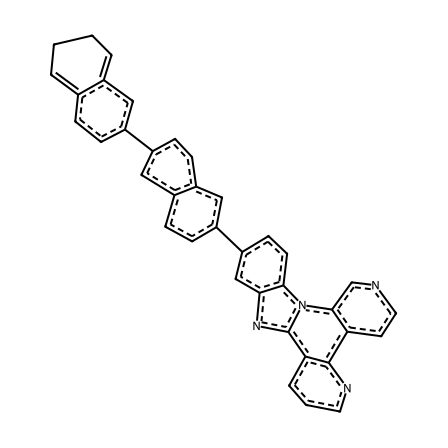 C1=c2ccc(-c3ccc4cc(-c5ccc6c(c5)nc5c7cccnc7c7ccncc7n65)ccc4c3)cc2=CCC1